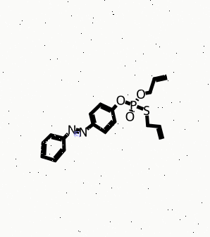 C=CCOP(=O)(Oc1ccc(/N=N/c2ccccc2)cc1)SCC=C